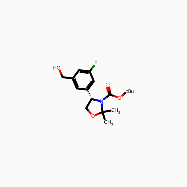 CC(C)(C)OC(=O)N1[C@@H](c2cc(F)cc(CO)c2)COC1(C)C